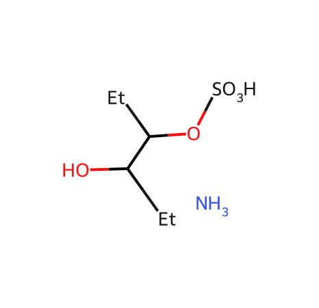 CCC(O)C(CC)OS(=O)(=O)O.N